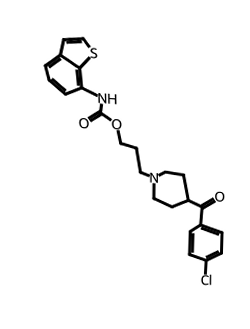 O=C(Nc1cccc2ccsc12)OCCCN1CCC(C(=O)c2ccc(Cl)cc2)CC1